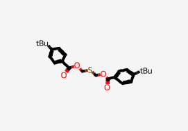 CC(C)(C)c1ccc(C(=O)OCSCOC(=O)c2ccc(C(C)(C)C)cc2)cc1